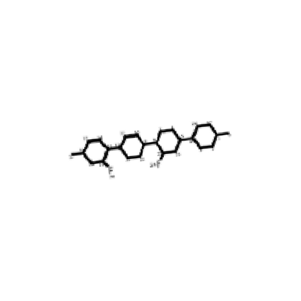 CC1CCC(C2CCC(C3CCC(C4CCC(C)CC4F)CC3)C(F)C2)CC1